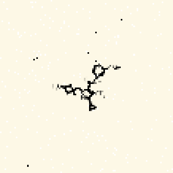 CSc1cc(NC(=O)c2c(C(F)(F)F)c(C3CC3)nn2CC2(C)CC(C(F)(F)F)C2)ccn1